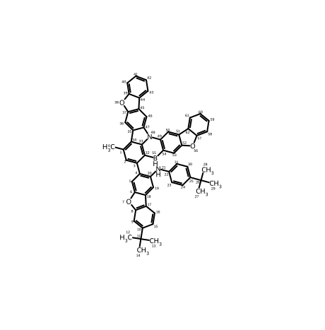 Cc1cc(-c2cc3oc4cc(C(C)(C)C)ccc4c3cc2Nc2ccc(C(C)(C)C)cc2)c2c3c1c1cc4oc5ccccc5c4cc1n3-c1cc3c(cc1B2)oc1ccccc13